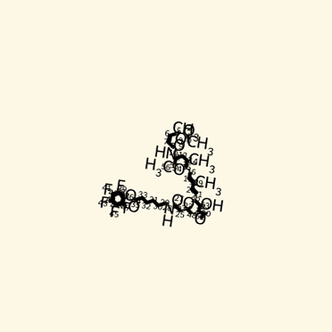 CC(=O)OC(C)/C=C\C(=O)N[C@@H]1C[C@H](C)[C@H](C/C=C(C)/C=C/[C@H]2O[C@H](CC(=O)NCCCCCC(=O)Oc3c(F)c(F)c(F)c(F)c3F)C[C@@]3(CO3)[C@@H]2O)O[C@@H]1C